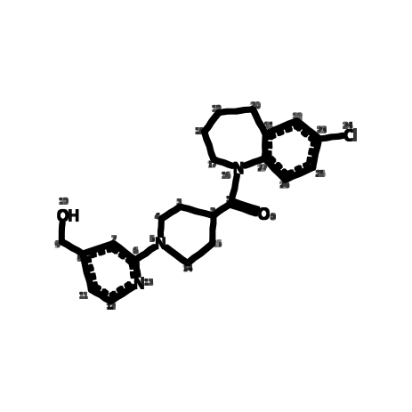 O=C(C1CCN(c2cc(CO)ccn2)CC1)N1CCCCc2cc(Cl)ccc21